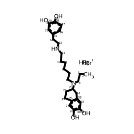 Br.Br.CCCN(CCCCCCNCCc1ccc(O)c(O)c1)C1CCc2cc(O)c(O)cc2C1